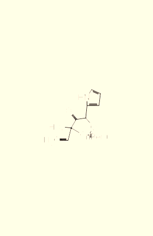 C=CC(C)(C)C(=O)C(OCCCCC)c1ccc[nH]1